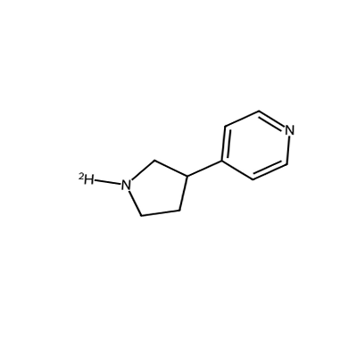 [2H]N1CCC(c2ccncc2)C1